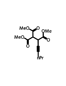 CCCC#CC(C(=O)OC)C(C(=O)OC)C(=O)OC